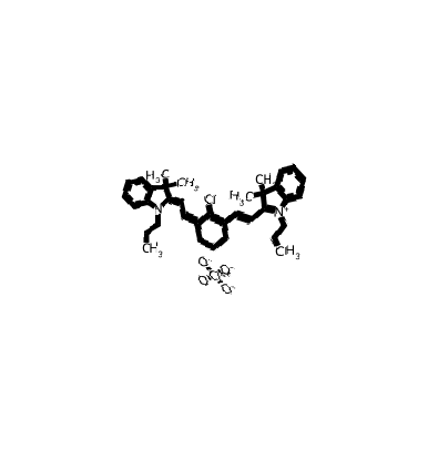 CCCN1C(=CC=C2CCCC(C=CC3=[N+](CCC)c4ccccc4C3(C)C)=C2Cl)C(C)(C)c2ccccc21.[O-][Cl+3]([O-])([O-])[O-]